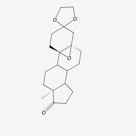 C[C@]12CCC3C(CC[C@@]45CC6(CC[C@@]34O5)OCCO6)C1CCC2=O